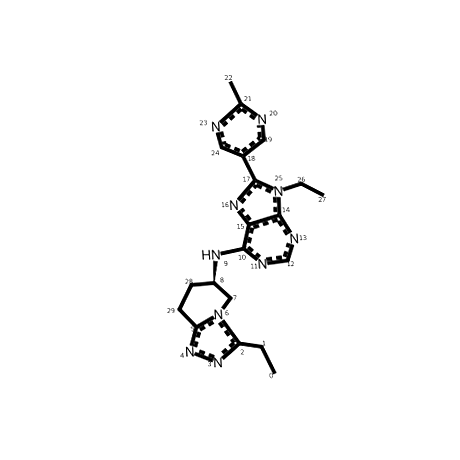 CCc1nnc2n1C[C@H](Nc1ncnc3c1nc(-c1cnc(C)nc1)n3CC)CC2